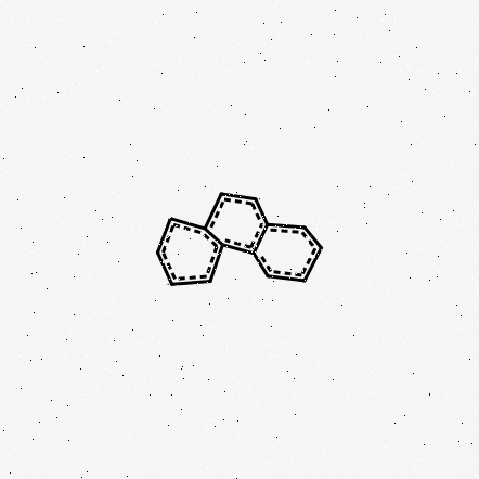 [c]1ccc2c[c]c3ccccc3c2c1